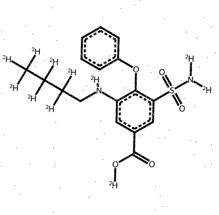 [2H]OC(=O)c1cc(N([2H])CC([2H])([2H])C([2H])([2H])C([2H])([2H])[2H])c(Oc2ccccc2)c(S(=O)(=O)N([2H])[2H])c1